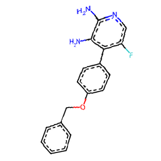 Nc1ncc(F)c(-c2ccc(OCc3ccccc3)cc2)c1N